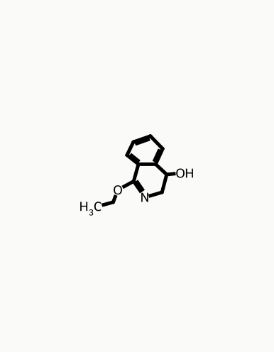 CCOC1=NCC(O)c2ccccc21